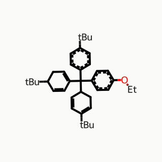 CCOc1ccc(C(C2=CCC(C(C)(C)C)C=C2)(c2ccc(C(C)(C)C)cc2)C2C=CC(C(C)(C)C)=CC2)cc1